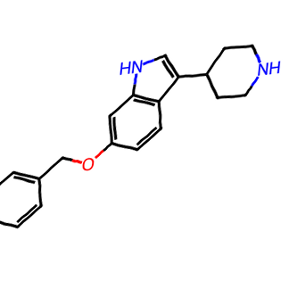 c1ccc(COc2ccc3c(C4CCNCC4)c[nH]c3c2)cc1